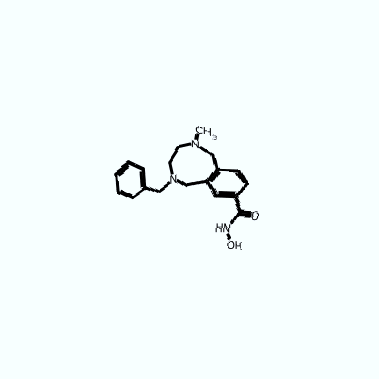 CN1CCN(Cc2ccccc2)Cc2cc(C(=O)NO)ccc2C1